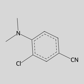 CN(C)c1ccc(C#N)cc1Cl